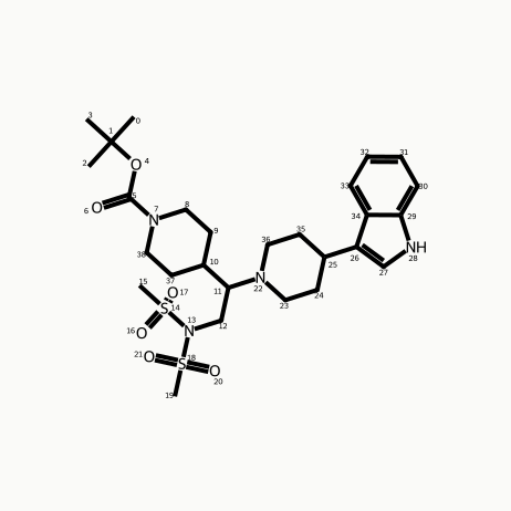 CC(C)(C)OC(=O)N1CCC(C(CN(S(C)(=O)=O)S(C)(=O)=O)N2CCC(c3c[nH]c4ccccc34)CC2)CC1